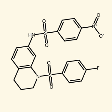 O=[N+]([O-])c1ccc(S(=O)(=O)Nc2ccc3c(c2)N(S(=O)(=O)c2ccc(F)cc2)CCC3)cc1